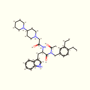 CCc1ccc(CN(C(C)=O)C(=O)C(Cc2c[nH]c3ccccc23)NC(=O)CN2CCC(N3CCCCC3)CC2)cc1CC